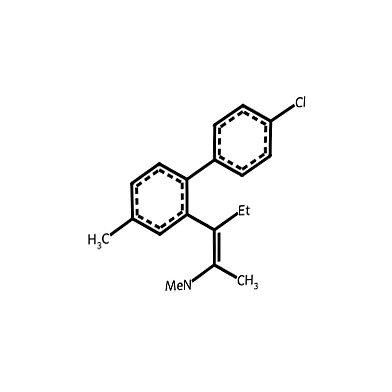 CC/C(=C(\C)NC)c1cc(C)ccc1-c1ccc(Cl)cc1